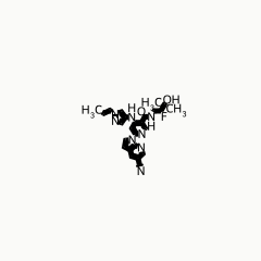 CCCn1cc(Nc2cc(-n3ccc4cc(C#N)cnc43)ncc2C(=O)NCC(F)C(C)(C)O)cn1